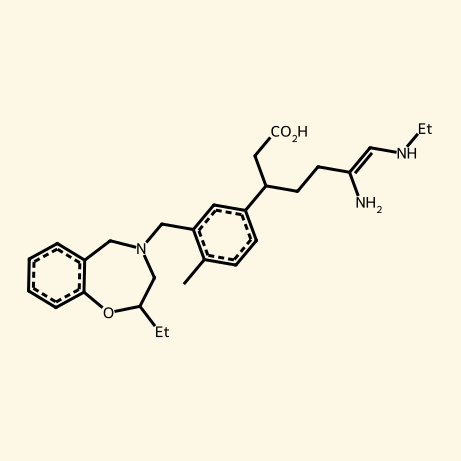 CCN/C=C(\N)CCC(CC(=O)O)c1ccc(C)c(CN2Cc3ccccc3OC(CC)C2)c1